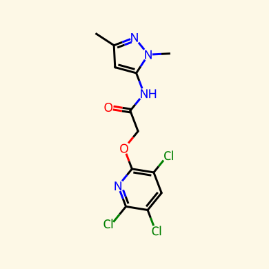 Cc1cc(NC(=O)COc2nc(Cl)c(Cl)cc2Cl)n(C)n1